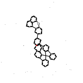 c1cc(-c2ccc3c(c2)-c2cccc4cccc(c24)O3)cc(-c2ccc3c(c2)C2(c4ccccc4-3)c3ccccc3-c3ccc4ccccc4c32)c1